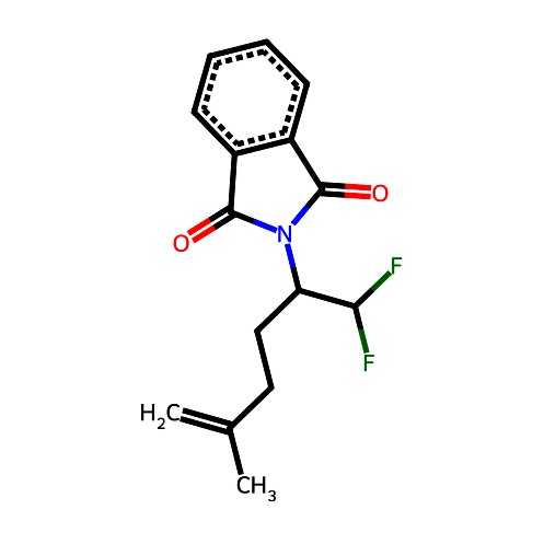 C=C(C)CCC(C(F)F)N1C(=O)c2ccccc2C1=O